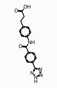 O=C(O)CCc1ccc(NC(=O)c2ccc(-c3nn[nH]n3)cc2)cc1